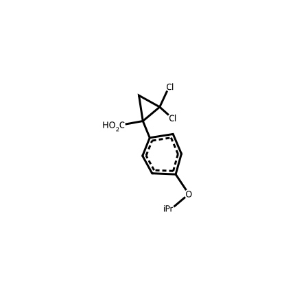 CC(C)Oc1ccc(C2(C(=O)O)CC2(Cl)Cl)cc1